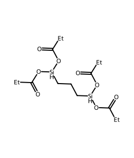 CCC(=O)O[SiH](CCC[SiH](OC(=O)CC)OC(=O)CC)OC(=O)CC